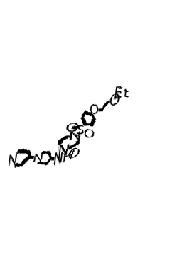 CCOCCOc1ccc(S(=O)(=O)N2CCN(NC3CCN(c4ccncc4)CC3)C(=O)C2)cc1